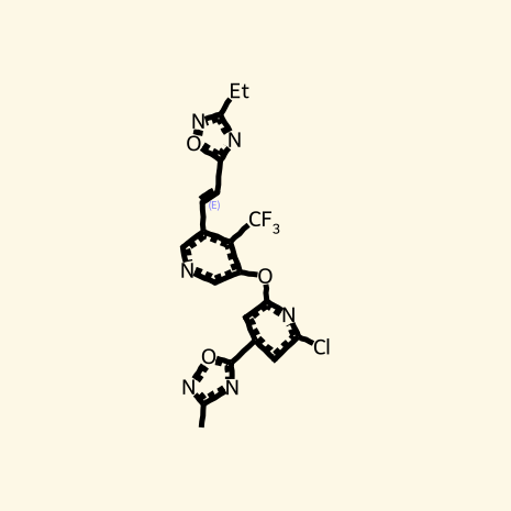 CCc1noc(/C=C/c2cncc(Oc3cc(-c4nc(C)no4)cc(Cl)n3)c2C(F)(F)F)n1